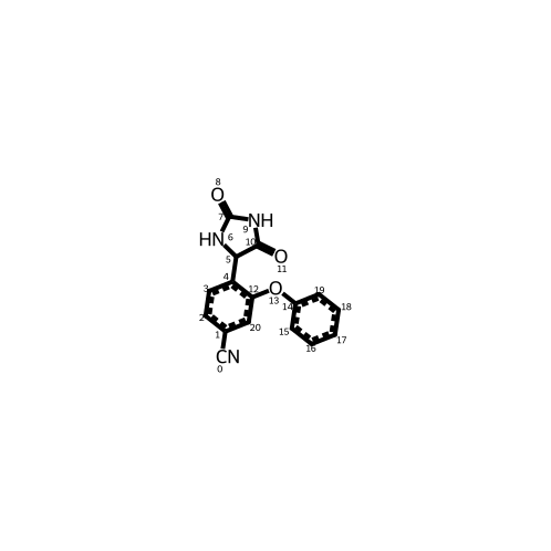 N#Cc1ccc(C2NC(=O)NC2=O)c(Oc2ccccc2)c1